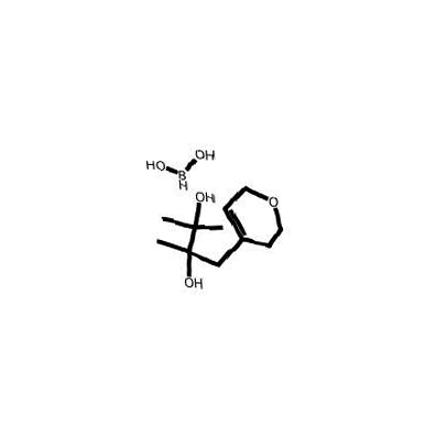 CC(C)(O)C(C)(O)CC1=CCOCC1.OBO